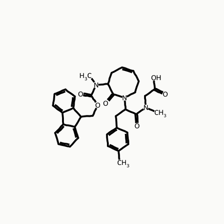 Cc1ccc(CC(C(=O)N(C)CC(=O)O)N2CCC=CCC(N(C)C(=O)OCC3c4ccccc4-c4ccccc43)C2=O)cc1